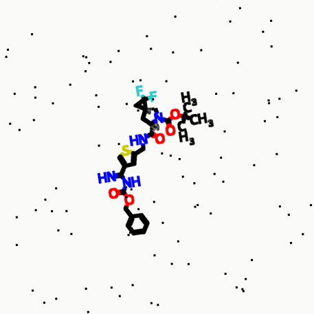 CC(C)(C)OC(=O)N1C[C@]2(C[C@H]1C(=O)NCc1cc(C(=N)NC(=O)OCc3ccccc3)cs1)CC2(F)F